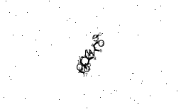 COC(=O)CC(C)n1cc2c(n1)CCC1(C2)OCCO1